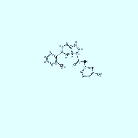 O=C(Nc1cccc(O)n1)c1cnc2ccc(-c3ccccc3C(F)(F)F)nn12